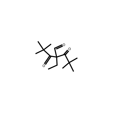 CCC(C=O)(C(=O)C(C)(C)C)C(=O)C(C)(C)C